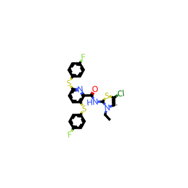 CCN1[C]=C(Cl)SC1NC(=O)c1nc(Sc2ccc(F)cc2)ccc1Sc1ccc(F)cc1